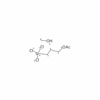 CC(=O)OCCC[Si](Cl)(Cl)Cl.CO